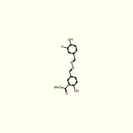 COC(=O)c1cc(/C=N/N=C/c2ccc(O)c(F)c2)ccc1O